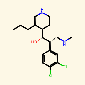 CCCC1CNCCC1[C@@H](O)[C@H](CNC)c1ccc(Cl)c(Cl)c1